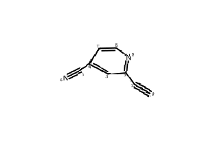 [C]#Cc1cc(C#N)ccn1